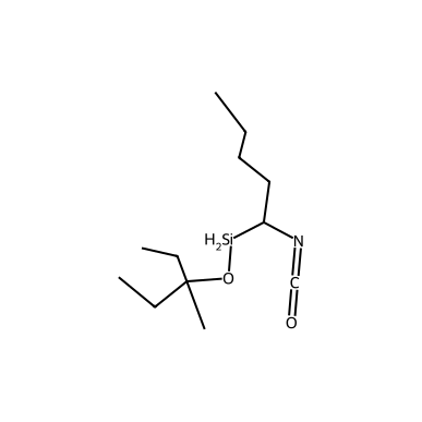 CCCCC(N=C=O)[SiH2]OC(C)(CC)CC